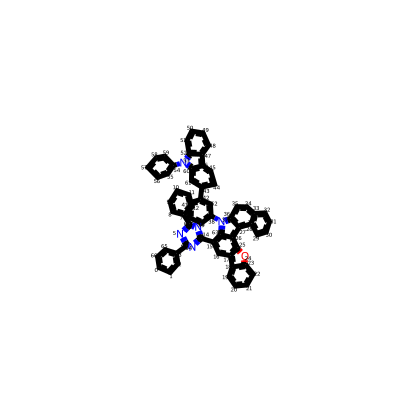 c1ccc(-c2nc(-c3ccccc3)nc(-c3cc4c5ccccc5oc4c4c5c6ccccc6ccc5n(-c5cccc(-c6ccc7c8ccccc8n(-c8ccccc8)c7c6)c5)c34)n2)cc1